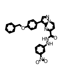 O=C(NNc1cccc([N+](=O)[O-])c1)c1ccn2ncc(-c3ccc(OCc4ccccc4)cc3)c2n1